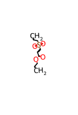 C=CCOC(=O)C=CS(=O)(=O)CC=C